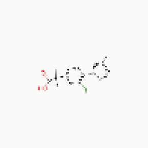 Cc1cccc(-c2ccc(C(C)(C)C(=O)O)cc2F)c1